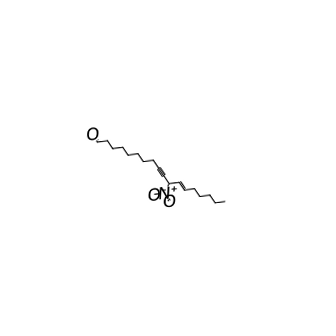 CCCCCC=CC(C#CCCCCCCCC=O)[N+](=O)[O-]